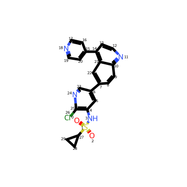 O=S(=O)(Nc1cc(-c2ccc3nccc(-c4ccncc4)c3c2)cnc1Cl)C1CC1